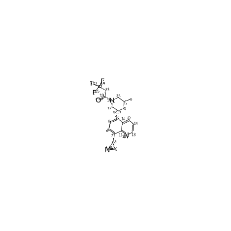 CC1C[C@H](c2ccc(C3C=N3)c3ncccc23)CN(C(=O)CC(F)(F)F)C1